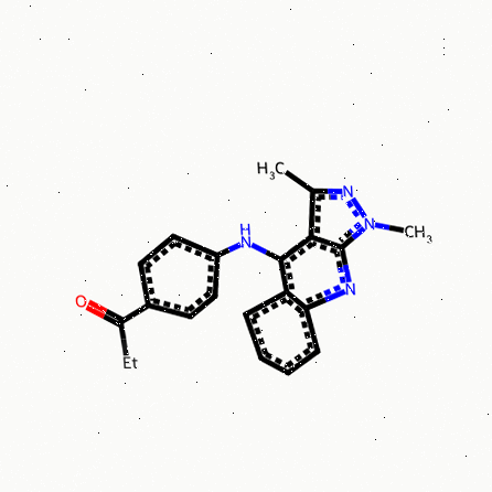 CCC(=O)c1ccc(Nc2c3ccccc3nc3c2c(C)nn3C)cc1